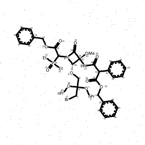 CCCOC(CBr)(CO[C@@H]1N(C(C(=O)OCc2ccccc2)P(=O)(CC)CC)C(=O)[C@@]1(NC(=O)C(C(=O)OCc1ccccc1)c1ccccc1)OC)OCCC